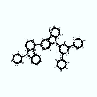 c1ccc(-n2c3ccccc3c3c(-c4ccc5c(c4)c4ncccc4n5-c4cc(-c5ccccn5)nc(-c5ccccn5)c4)cccc32)cc1